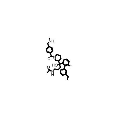 CCc1cccc(-c2c(F)cccc2C(O)(CCCNC(C)=O)C2CCCN(C(=O)c3ccc(CNC)cc3)C2)c1